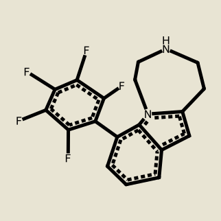 Fc1c(F)c(F)c(-c2cccc3cc4n(c23)CCNCC4)c(F)c1F